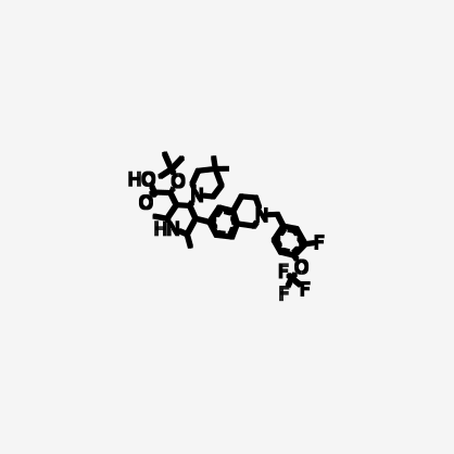 CC1NC(C)C([C@H](OC(C)(C)C)C(=O)O)C(N2CCC(C)(C)CC2)C1c1ccc2c(c1)CCN(Cc1ccc(OC(F)(F)F)c(F)c1)C2